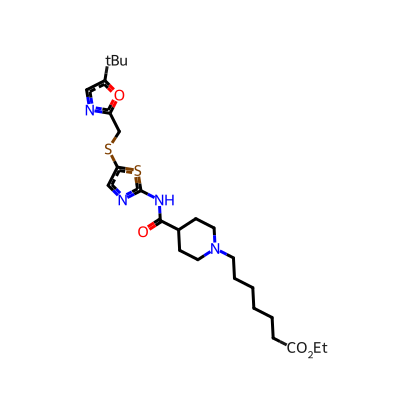 CCOC(=O)CCCCCCN1CCC(C(=O)Nc2ncc(SCc3ncc(C(C)(C)C)o3)s2)CC1